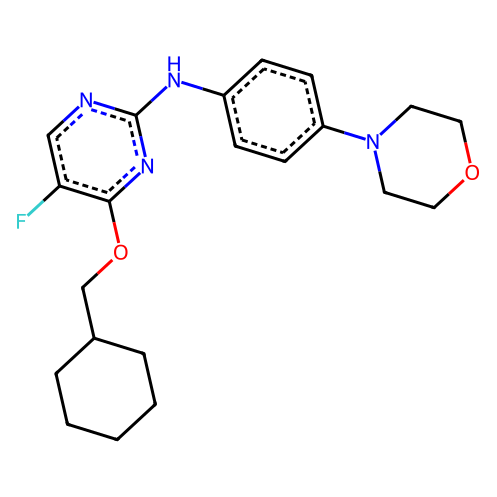 Fc1cnc(Nc2ccc(N3CCOCC3)cc2)nc1OCC1CCCCC1